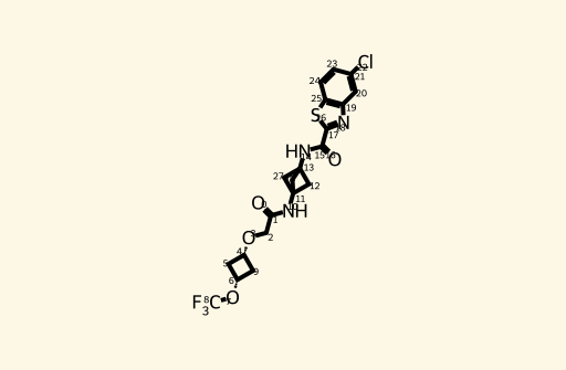 O=C(CO[C@H]1C[C@@H](OC(F)(F)F)C1)NC12CC(NC(=O)c3nc4cc(Cl)ccc4s3)(C1)C2